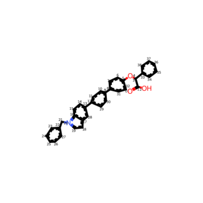 O=C(O)C(Oc1ccc(-c2ccc(-c3ccc4c(ccn4Cc4ccccc4)c3)cc2)cc1)c1ccccc1